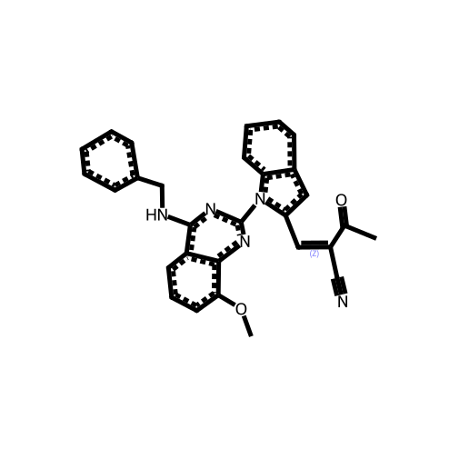 COc1cccc2c(NCc3ccccc3)nc(-n3c(/C=C(/C#N)C(C)=O)cc4ccccc43)nc12